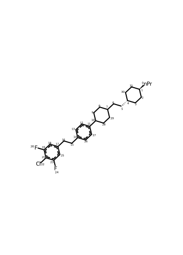 CCC[C@H]1CC[C@H](CCC2CCC(c3ccc(CCc4cc(F)c(Cl)c(F)c4)cc3)CC2)CC1